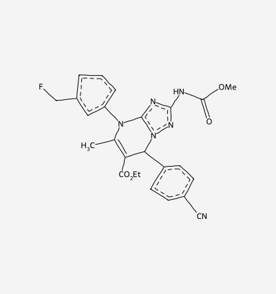 CCOC(=O)C1=C(C)N(c2cccc(CF)c2)c2nc(NC(=O)OC)nn2C1c1ccc(C#N)cc1